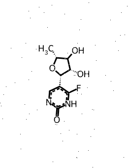 C[C@H]1O[C@@H](c2cnc(=O)[nH]c2F)[C@@H](O)C1O